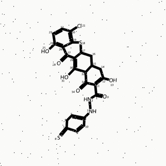 O=C(NNC1=CCC(=S)C=C1)C1=C(O)CC2CC3Sc4c(Cl)ccc(O)c4C(=O)C3=C(O)C2C1=O